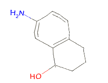 Nc1ccc2c(c1)[C](O)CCC2